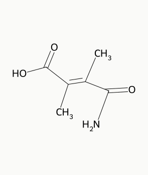 CC(C(N)=O)=C(C)C(=O)O